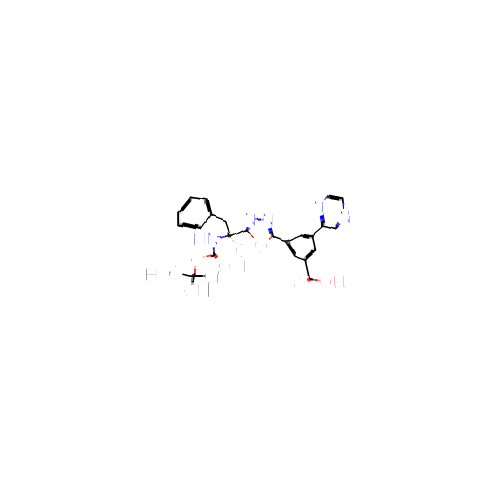 CC(C)(C)OC(=O)N[C@](C)(Cc1ccccc1)c1nnc(-c2cc(C(=O)O)cc(-c3cnccn3)c2)o1